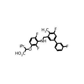 Cc1c(F)cc(-c2cccc(F)c2)cc1CNc1c(F)ccc(OC(C(=O)O)C(C)C)c1F